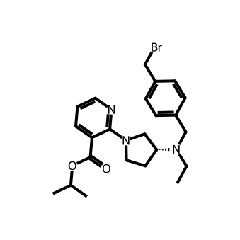 CCN(Cc1ccc(CBr)cc1)[C@@H]1CCN(c2ncccc2C(=O)OC(C)C)C1